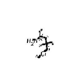 C=C=CC(C)(C)C[C@H](C)N